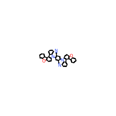 N#Cc1cc(-n2c3ccccc3c3c4c(ccc32)oc2ccccc24)c(C#N)cc1-n1c2ccccc2c2c3c(ccc21)oc1ccccc13